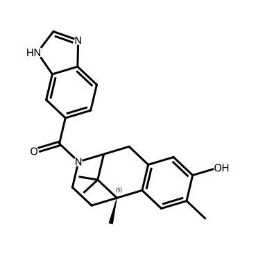 Cc1cc2c(cc1O)CC1N(C(=O)c3ccc4nc[nH]c4c3)CC[C@]2(C)C1(C)C